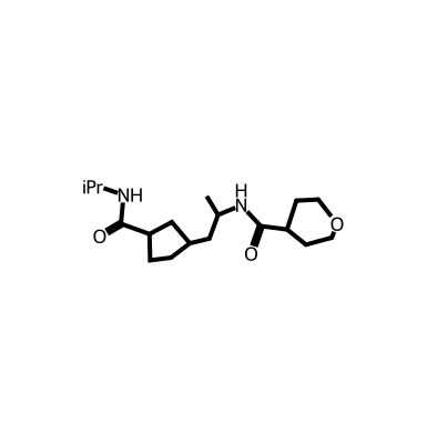 CC(C)NC(=O)C1CCC(CC(C)NC(=O)C2CCOCC2)C1